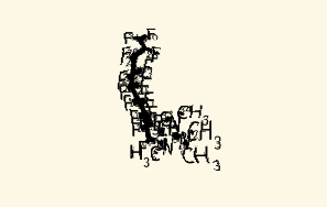 CN(C)C(=N[Si](C)(C)C(F)C(F)(F)C(F)(F)C(F)(F)C(F)(F)C(F)(F)C(F)C(F)C(F)F)N(C)C